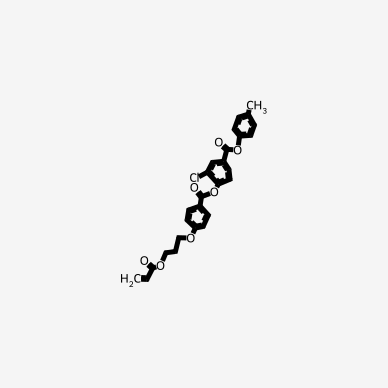 C=CC(=O)OCCCOc1ccc(C(=O)Oc2ccc(C(=O)Oc3ccc(C)cc3)cc2Cl)cc1